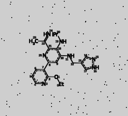 CCOc1ncccc1-c1cc(NCc2cn[nH]c2)c(NC(C)C)c(C(C)=N)n1